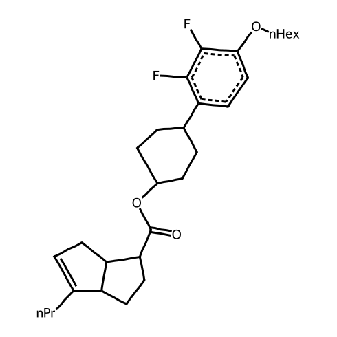 CCCCCCOc1ccc(C2CCC(OC(=O)C3CCC4C(CCC)=CCC34)CC2)c(F)c1F